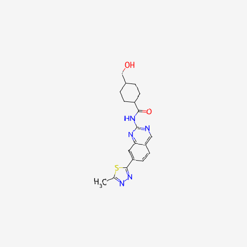 Cc1nnc(-c2ccc3cnc(NC(=O)C4CCC(CO)CC4)nc3c2)s1